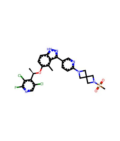 Cc1c(O[C@H](C)c2c(Cl)cnc(F)c2Cl)ccc2[nH]nc(-c3ccc(N4CC5(C4)CN(S(C)(=O)=O)C5)nc3)c12